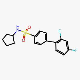 O=S(=O)(NC1CCCC1)c1ccc(-c2ccc(F)cc2F)cc1